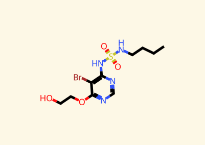 CCCCNS(=O)(=O)Nc1ncnc(OCCO)c1Br